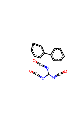 O=C=NC(N=C=O)N=C=O.c1ccc(-c2ccccc2)cc1